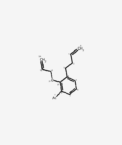 C=CCCc1cccc(C(C)=O)c1OCC=C